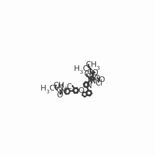 CCc1cc(O[C@H]2CCc3cccc(-c4cccc(-n5nc(OC(=O)Cl)c(C(=O)OCC(C)C)c5CC)n4)c32)ccc1C1CCN(C(=O)OCC(C)C)CC1